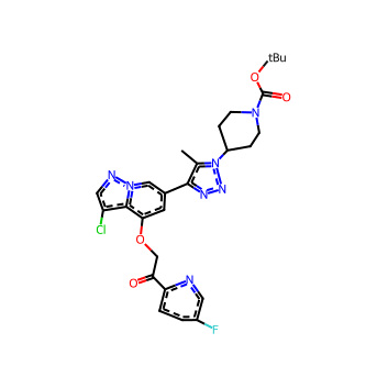 Cc1c(-c2cc(OCC(=O)c3ccc(F)cn3)c3c(Cl)cnn3c2)nnn1C1CCN(C(=O)OC(C)(C)C)CC1